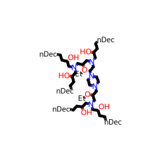 CCCCCCCCCCCCC(O)CN(CCN1CCN(CC(CN(CC(O)CCCCCCCCCCCC)CC(O)CCCCCCCCCCCC)OCC)CC1)CC(CN(CC(O)CCCCCCCCCCCC)CC(O)CCCCCCCCCCCC)OCC